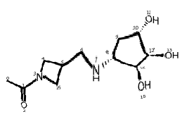 CC(=O)N1CC(CN[C@@H]2C[C@H](O)[C@@H](O)[C@H]2O)C1